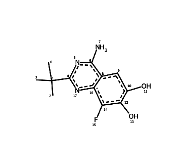 CC(C)(C)c1nc(N)c2cc(O)c(O)c(F)c2n1